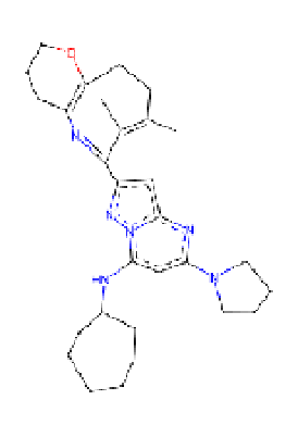 C/C1=C(C)\C(c2cc3nc(N4CCCC4)cc(NC4CCCCCC4)n3n2)=N/C2=C(CC1)OCCC2